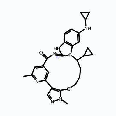 Cc1cc2cc(n1)-c1cnn(C)c1OCCCC(C1CC1)N1/C(=N/C2=O)Nc2ccc(NC3CC3)cc21